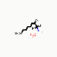 CCCCCCCCCCCCCCC(CC)C(N)(CC)CC.O